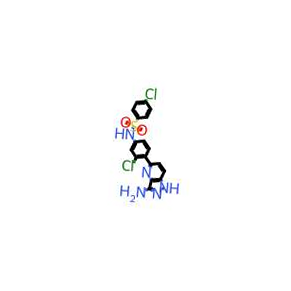 Nc1n[nH]c2ccc(-c3ccc(NS(=O)(=O)c4ccc(Cl)cc4)cc3Cl)nc12